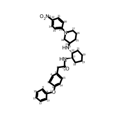 O=C(Cc1ccc(Oc2ccccc2)cc1)N[C@@H]1CCCC[C@H]1NC1CCCN(c2ccc([N+](=O)[O-])cc2)C1